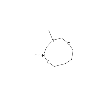 CN1CCCCCCCN(C)C1